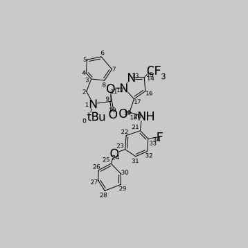 CC(C)(C)N(Cc1ccccc1)C(=O)On1nc(C(F)(F)F)cc1C(=O)Nc1cc(Oc2ccccc2)ccc1F